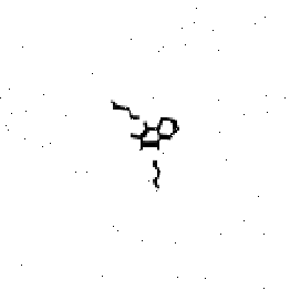 CCCCOc1c(C)c(C)c(OCCCC)c2ccccc12